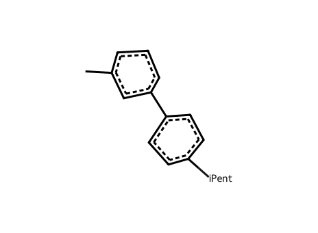 CCCC(C)c1ccc(-c2cccc(C)c2)cc1